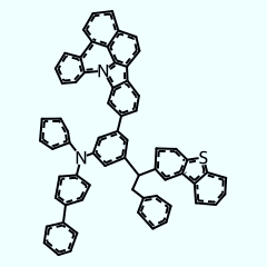 c1ccc(CC(c2cc(-c3ccc4c5ccc6cccc7c8ccccc8n(c4c3)c5c67)cc(N(c3ccccc3)c3ccc(-c4ccccc4)cc3)c2)c2ccc3sc4ccccc4c3c2)cc1